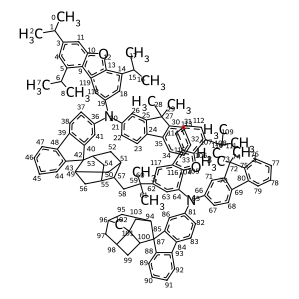 CC(C)c1cc(C(C)C)c2c(c1)oc1c(C(C)C)cc(N(c3ccc4c(c3)C(C)(C)c3ccccc3-4)c3ccc4c(c3)C3(c5ccccc5-4)C4CC5CC3CC(C4)C5CC(C)(C)c3cc(N(c4ccc5c(c4)C(C)(C)c4ccccc4-5)c4ccc5c(c4)C4(c6ccccc6-5)C5CC6CC7CC4C7(C6)C5)c4oc5c(C(C)(C)C)cccc5c4c3)cc12